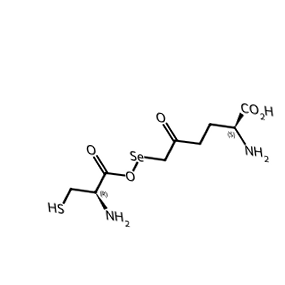 N[C@@H](CCC(=O)C[Se]OC(=O)[C@@H](N)CS)C(=O)O